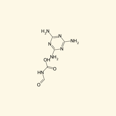 Nc1nc(N)nc(N)n1.O=CNC(=O)O